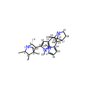 CC1C(C)C2(C)CN1[C@H](C)C2c1cc(CC2(C)C3CCN2[C@H](C)C3c2cccn2C)cn1C